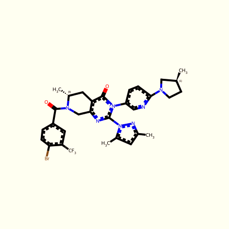 Cc1cc(C)n(-c2nc3c(c(=O)n2-c2ccc(N4CC[C@H](C)C4)nc2)C[C@@H](C)N(C(=O)c2ccc(Br)c(C(F)(F)F)c2)C3)n1